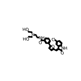 O=C1Nc2ccc(Cl)cc2/C1=C\c1ccc(-c2cccc(C(=O)NCCN(CCO)CCO)c2)o1